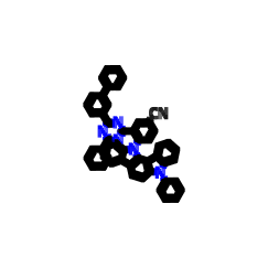 N#Cc1ccc(-n2c3ccccc3c3ccc4c(c5ccccc5n4-c4ccccc4)c32)c(-c2nc(-c3ccccc3)nc(-c3cccc(-c4ccccc4)c3)n2)c1